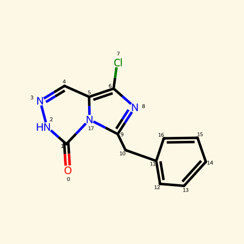 O=c1[nH]ncc2c(Cl)nc(Cc3ccccc3)n12